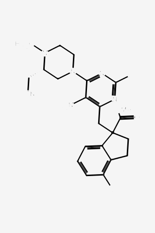 COC(=O)C1(Cc2nc(Cl)nc(N3CCN(C(=O)O)[C@@H](CC#N)C3)c2[N+](=O)[O-])CCc2c(Cl)cccc21